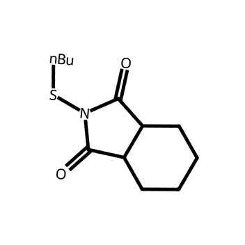 CCCCSN1C(=O)C2CCCCC2C1=O